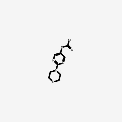 O=C(O)Oc1cnc(N2CCOCC2)nc1